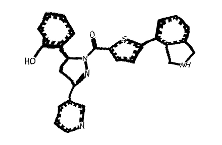 O=C(c1ccc(-c2cccc3c2CNC3)s1)N1N=C(c2cccnc2)CC1c1ccccc1O